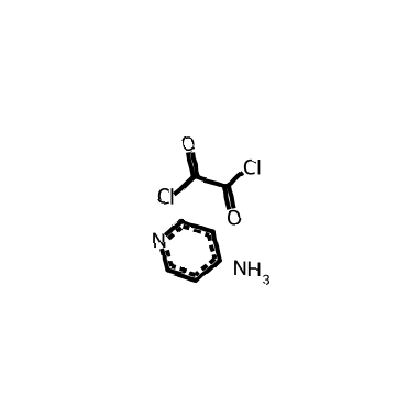 N.O=C(Cl)C(=O)Cl.c1ccncc1